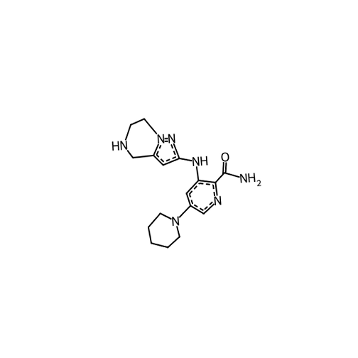 NC(=O)c1ncc(N2CCCCC2)cc1Nc1cc2n(n1)CCNC2